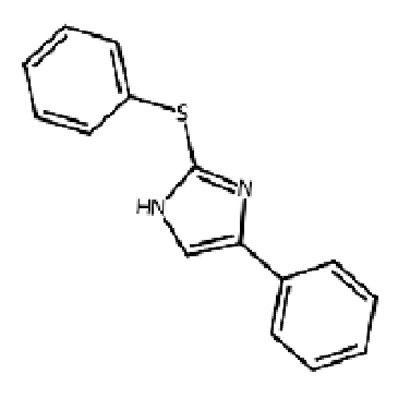 c1ccc(Sc2nc(-c3ccccc3)c[nH]2)cc1